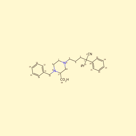 CC(C)C(C#N)(CCCN1CCN(Cc2ccccc2)C(C(=O)O)C1)c1ccccc1